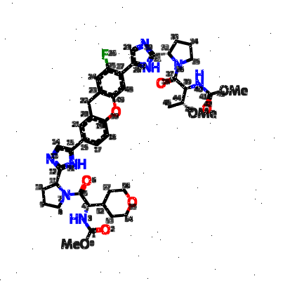 COC(=O)N[C@H](C(=O)N1CCC[C@H]1c1ncc(-c2ccc3c(c2)Cc2cc(F)c(-c4cnc([C@@H]5CCCN5C(=O)[C@@H](NC(=O)OC)[C@@H](C)OC)[nH]4)cc2O3)[nH]1)C1CCOCC1